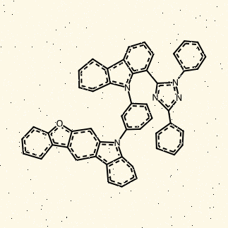 c1ccc(-c2nc(-c3cccc4c5ccccc5n(-c5cccc(-n6c7ccccc7c7cc8c(cc76)oc6ccccc68)c5)c34)n(-c3ccccc3)n2)cc1